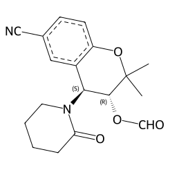 CC1(C)Oc2ccc(C#N)cc2[C@H](N2CCCCC2=O)[C@H]1OC=O